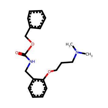 CN(C)CCCOc1ccccc1CNC(=O)OCc1ccccc1